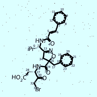 CC(C)[C@H](NC(=O)/C=C/c1ccccc1)C1=NOC(Cc2ccccc2)(C(=O)N[C@@H](CC(=O)O)C(=O)CBr)C1